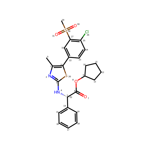 Cc1nc(N[C@H](C(=O)OC2CCCC2)c2ccccc2)sc1-c1ccc(Cl)c(S(C)(=O)=O)c1